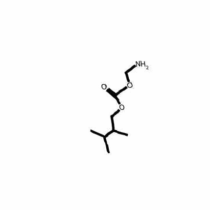 CC(C)C(C)COC(=O)OCN